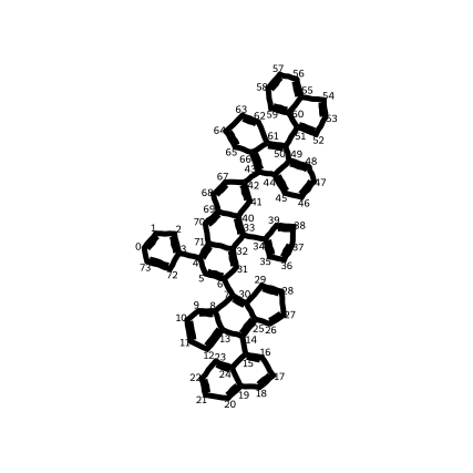 c1ccc(-c2cc(-c3c4ccccc4c(-c4cccc5ccccc45)c4ccccc34)cc3c(-c4ccccc4)c4cc(-c5c6ccccc6c(-c6cccc7ccccc67)c6ccccc56)ccc4cc23)cc1